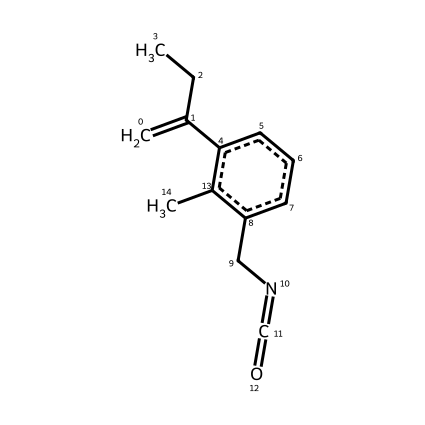 C=C(CC)c1cccc(CN=C=O)c1C